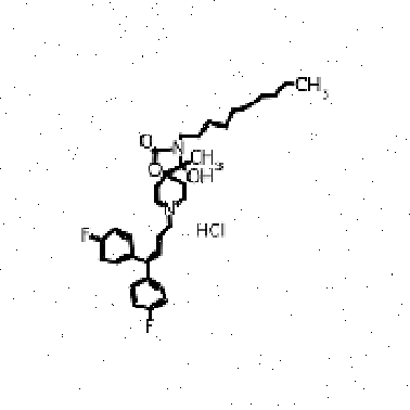 CCCCCCCCCCN1C(=O)OC2(CCN(CCC=C(c3ccc(F)cc3)c3ccc(F)cc3)CC2)C1(C)O.Cl